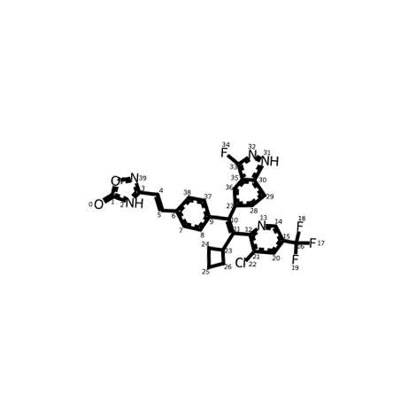 O=c1[nH]c(C=Cc2ccc(/C(=C(/c3ncc(C(F)(F)F)cc3Cl)C3CCC3)c3ccc4[nH]nc(F)c4c3)cc2)no1